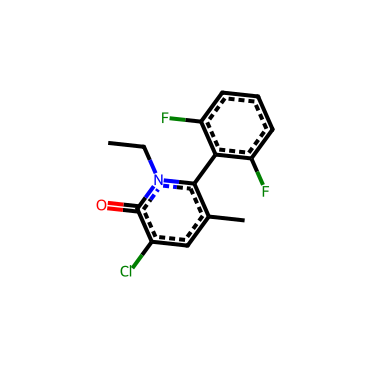 CCn1c(-c2c(F)cccc2F)c(C)cc(Cl)c1=O